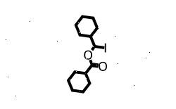 O=C(OC(I)C1CCCCC1)C1CCCCC1